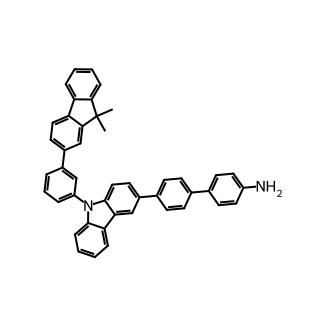 CC1(C)c2ccccc2-c2ccc(-c3cccc(-n4c5ccccc5c5cc(-c6ccc(-c7ccc(N)cc7)cc6)ccc54)c3)cc21